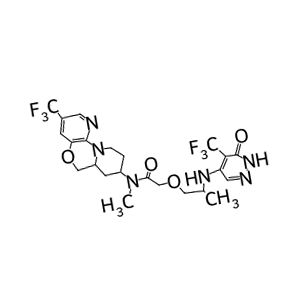 CC(COCC(=O)N(C)C1CCN2c3ncc(C(F)(F)F)cc3OCC2C1)Nc1cn[nH]c(=O)c1C(F)(F)F